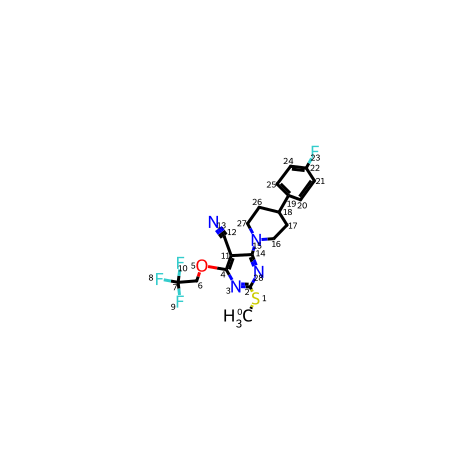 CSc1nc(OCC(F)(F)F)c(C#N)c(N2CCC(c3ccc(F)cc3)CC2)n1